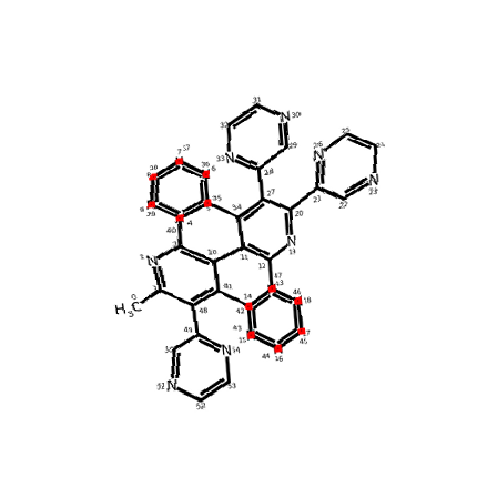 Cc1nc(-c2cnccn2)c(-c2c(-c3cnccn3)nc(-c3cnccn3)c(-c3cnccn3)c2-c2cnccn2)c(-c2cnccn2)c1-c1cnccn1